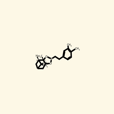 Cc1ccc(CCB2OC3CC4C[C@@H](C4(C)C)[C@]3(C)O2)cc1C